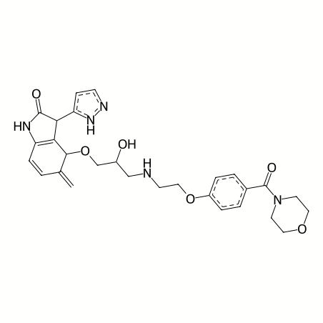 C=C1C=CC2=C(C1OCC(O)CNCCOc1ccc(C(=O)N3CCOCC3)cc1)C(c1ccn[nH]1)C(=O)N2